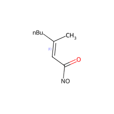 CCCC/C(C)=C/C(=O)N=O